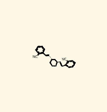 N#Cc1ccccc1/C=C/[C@H]1CCC[C@H](/C=C/c2ccccc2C#N)C1